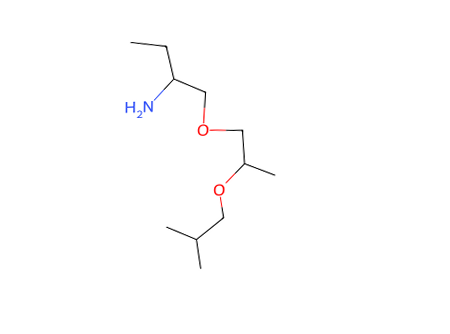 CCC(N)COCC(C)OCC(C)C